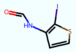 O=CNc1ccsc1I